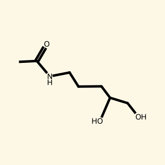 CC(=O)NCCCC(O)CO